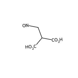 O=NCC(C(=O)O)C(=O)O